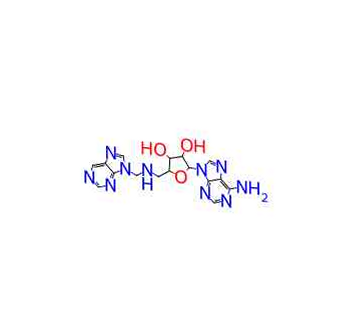 Nc1ncnc2c1ncn2C1OC(CNCn2cnc3cncnc32)C(O)C1O